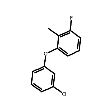 Cc1c(F)cccc1Oc1cccc(Cl)c1